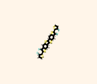 Fc1ccsc1-c1sc2cc3c(cc2c1F)sc1c2cc4sc(-c5sccc5F)c(F)c4cc2sc31